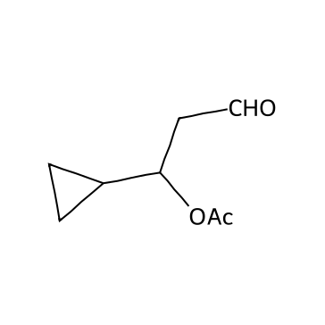 CC(=O)OC(CC=O)C1CC1